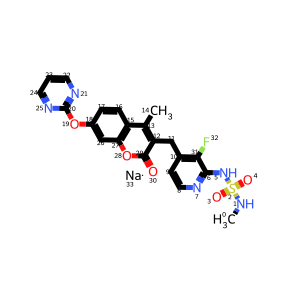 CNS(=O)(=O)Nc1nccc(Cc2c(C)c3ccc(Oc4ncccn4)cc3oc2=O)c1F.[Na]